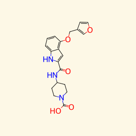 O=C(NC1CCN(C(=O)O)CC1)c1cc2c(OCc3ccoc3)cccc2[nH]1